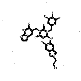 O=c1[nH]c2sccc2cc1Cn1c(=O)nc(Nc2cc3cn(CCO)nc3cc2Cl)n(Cc2cc(F)c(F)c(F)c2)c1=O